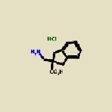 Cl.NCC1(C(=O)O)Cc2ccccc2C1